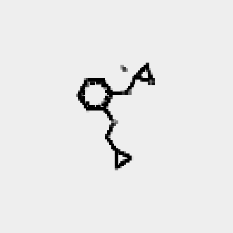 C[C@]1(Oc2ccccc2OCC2CC2)CO1